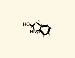 OC1Nc2ccccc2S1